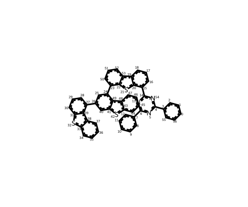 c1ccc(-c2nc(-c3ccccc3)nc(-c3cccc4c3sc3c(-c5cc(-c6cccc7sc8ccccc8c67)cc6sc7ccccc7c56)cccc34)n2)cc1